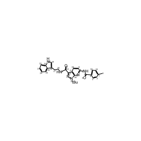 Cc1ccc(C(=O)Nc2ccc3c(C(=O)NCCc4c[nH]c5ccccc45)nn(C(C)(C)C)c3n2)cc1